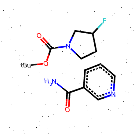 CC(C)(C)OC(=O)N1CCC(F)C1.NC(=O)c1cccnc1